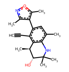 C#Cc1c(-c2c(C)noc2C)cc(C)c2c1[C@H](C)[C@@H](O)C(C)(C)N2